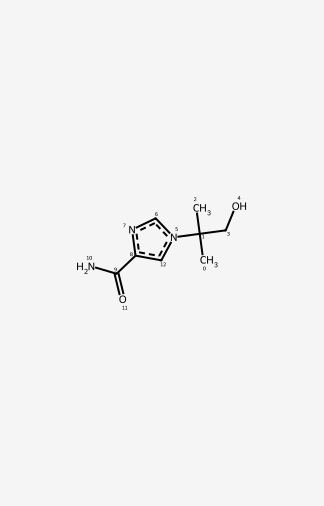 CC(C)(CO)n1cnc(C(N)=O)c1